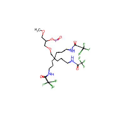 COCC(COCC(CCCNC(=O)C(F)(F)F)(CCCNC(=O)C(F)(F)F)CCCNC(=O)C(F)(F)F)OP=O